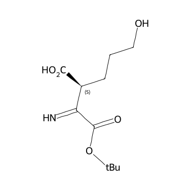 CC(C)(C)OC(=O)C(=N)[C@H](CCCO)C(=O)O